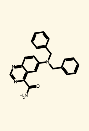 NC(=O)c1ncnc2ccc(N(Cc3ccccc3)Cc3ccccc3)cc12